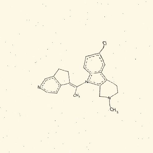 C/C(=C1/CCc2cnccc21)n1c2c(c3cc(Cl)ccc31)CCN(C)C2